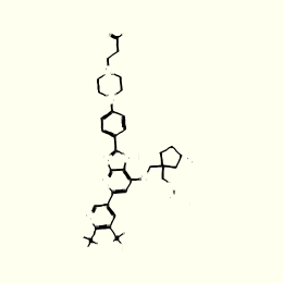 COCC1(CN(C)c2cc(-c3cnc(C(F)(F)F)c(C(F)(F)F)c3)nc3nc(-c4ccc(N5CCN(CCC(=O)[O-])CC5)cc4)[nH]c23)CCCC1.[Na+]